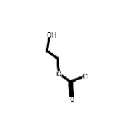 O=C(Cl)OCCO